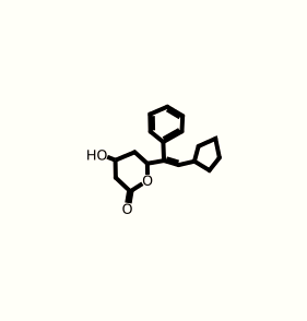 O=C1CC(O)CC(C(=CC2CCCC2)c2ccccc2)O1